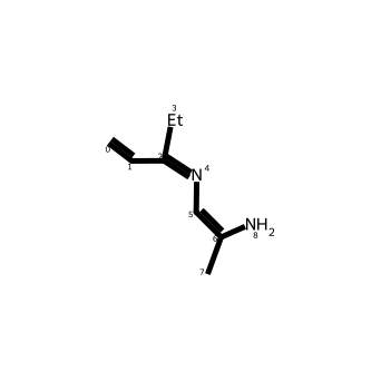 C=C/C(CC)=N\C=C(\C)N